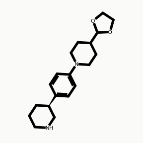 c1cc(N2CCC(C3OCCO3)CC2)ccc1[C@@H]1CCCNC1